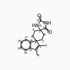 CC1=C(C)C2(CCC3(CC2)NC(=O)NC3=O)c2ccccc21